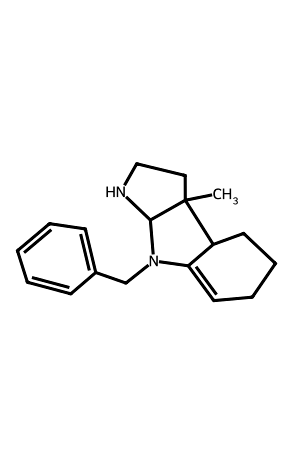 CC12CCNC1N(Cc1ccccc1)C1=CCCCC12